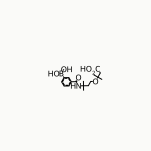 CC(C)(CCOC(C)(C)CC(=O)O)NC(=O)c1cccc(B(O)O)c1